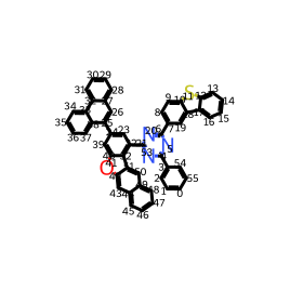 c1ccc(-c2nc(-c3ccc4sc5ccccc5c4c3)nc(-c3cc(-c4cc5ccccc5c5ccccc45)cc4oc5cc6ccccc6cc5c34)n2)cc1